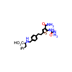 CC(C)C[C@H](NCc1ccc(CCc2cc(C(N)=O)c(NC(N)=O)s2)cc1)C(=O)O